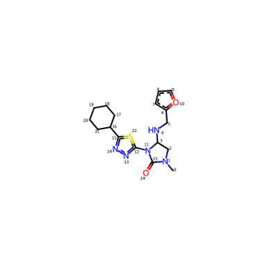 CN1CC(NCc2ccco2)N(c2nnc(C3CCCCC3)s2)C1=O